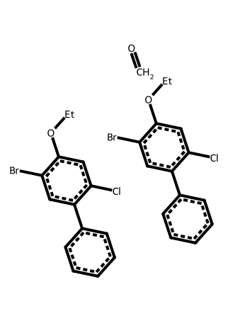 C=O.CCOc1cc(Cl)c(-c2ccccc2)cc1Br.CCOc1cc(Cl)c(-c2ccccc2)cc1Br